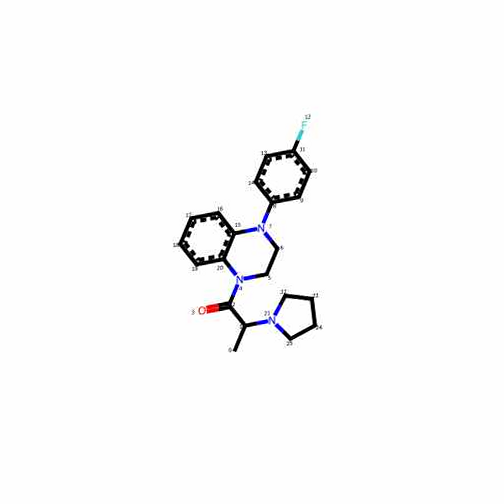 CC(C(=O)N1CCN(c2ccc(F)cc2)c2ccccc21)N1CCCC1